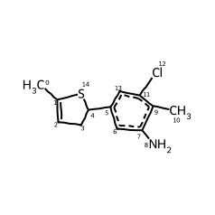 CC1=CCC(c2cc(N)c(C)c(Cl)c2)S1